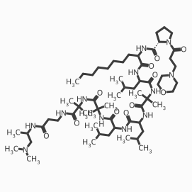 CCCCCCCCC(NC(=O)[C@@H]1CCCN1C(=O)CCN1CCOCC1)C(=O)NC(CC(C)C)C(=O)NC(C)(C)C(=O)NC(CC(C)C)C(=O)NC(CC(C)C)C(=O)NC(C)(C)C(=O)NC(C)(C)C(=O)NCCC(=O)NC(C)CN(C)C